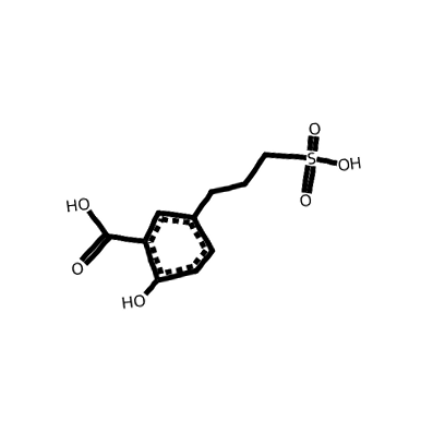 O=C(O)c1cc(CCCS(=O)(=O)O)ccc1O